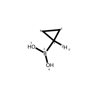 [2H]C1(B(O)O)CC1